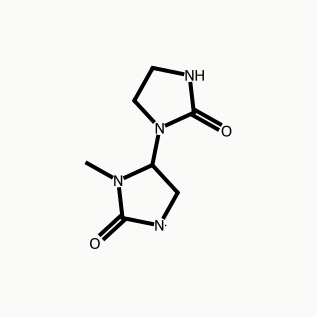 CN1C(=O)[N]CC1N1CCNC1=O